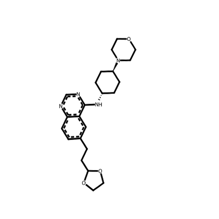 c1nc(N[C@H]2CC[C@H](N3CCOCC3)CC2)c2cc(CCC3OCCO3)ccc2n1